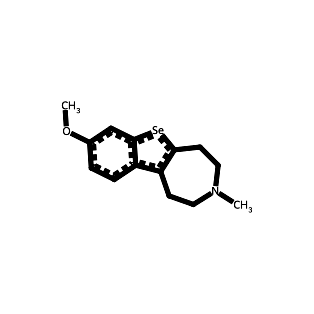 COc1ccc2c3c([se]c2c1)CCN(C)CC3